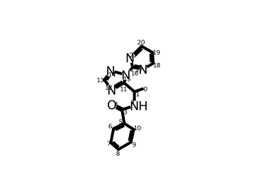 CC(NC(=O)c1ccccc1)c1ncnn1-c1ncccn1